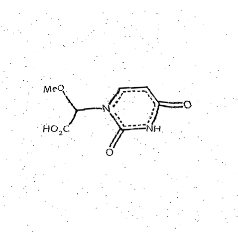 COC(C(=O)O)n1ccc(=O)[nH]c1=O